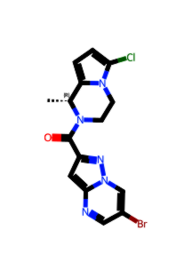 C[C@@H]1c2ccc(Cl)n2CCN1C(=O)c1cc2ncc(Br)cn2n1